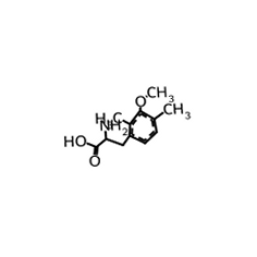 COc1c(C)ccc(CC(N)C(=O)O)c1C